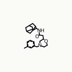 Cc1cccc(CN2CCOC(CC(=O)NC3C4CC5CC(C4)CC3C5)C2)c1